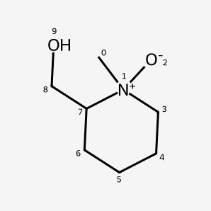 C[N+]1([O-])CCCCC1CO